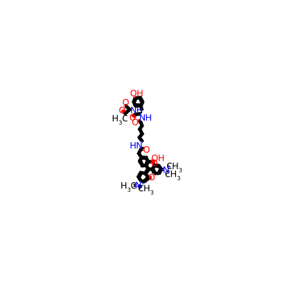 C[C@H]1OC(=O)[C@H]1NC(=O)[C@H](Cc1ccc(O)cc1)NC(=O)CCCCCNC(=O)Cc1ccc(-c2c3ccc(=[N+](C)C)cc-3oc3cc(N(C)C)ccc23)c(C(=O)O)c1